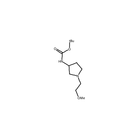 COCCN1CCC(NC(=O)OC(C)(C)C)C1